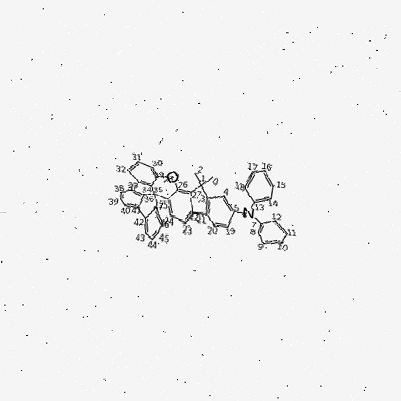 CC1(C)c2cc(N(c3ccccc3)c3ccccc3)ccc2-c2ccc3c(c21)Oc1ccccc1C31c2ccccc2-c2ccccc21